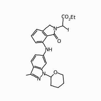 CCOC(=O)C(I)N1Cc2cccc(Nc3ccc4c(C)nn(C5CCCCO5)c4c3)c2C1=O